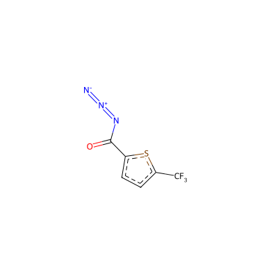 [N-]=[N+]=NC(=O)c1ccc(C(F)(F)F)s1